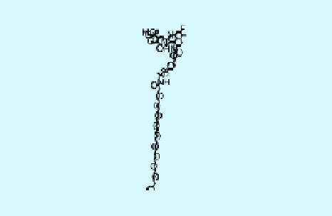 CCC(C)CCOCCOCCOCCOCCOCCOCCOCCOCCOCCC(=O)NCC(C)(C)SSc1ccc(COC(=O)N[C@H]2CCc3c(C)c(F)cc4nc5c(c2c34)Cn2c-5cc3c(c2=O)COC(=O)[C@]3(O)CC)cc1